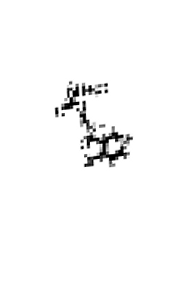 CCCCCCCC(=O)OCNC(=O)c1cnccc1Br